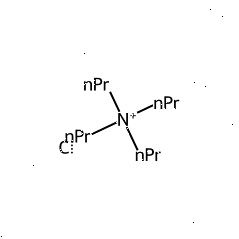 CCC[N+](CCC)(CCC)CCC.[C]